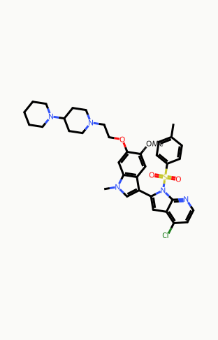 COc1cc2c(-c3cc4c(Cl)ccnc4n3S(=O)(=O)c3ccc(C)cc3)cn(C)c2cc1OCCN1CCC(N2CCCCC2)CC1